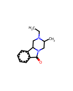 CCN1CC2c3ccccc3C(=O)N2CC1C